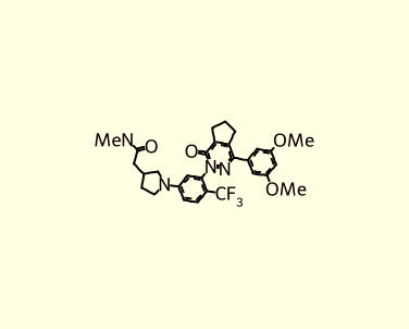 CNC(=O)CC1CCN(c2ccc(C(F)(F)F)c(-n3nc(-c4cc(OC)cc(OC)c4)c4c(c3=O)CCC4)c2)C1